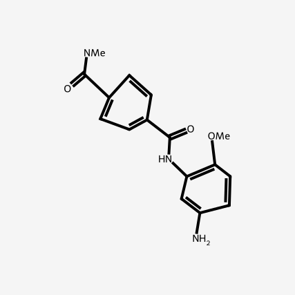 CNC(=O)c1ccc(C(=O)Nc2cc(N)ccc2OC)cc1